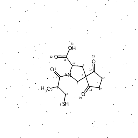 CC(CS)C(=O)N1CC2(CC1C(=O)O)C(=O)CCC2=O